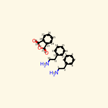 NCCc1ccccc1.NCCc1ccccc1.O=C1OC(=O)c2ccccc21